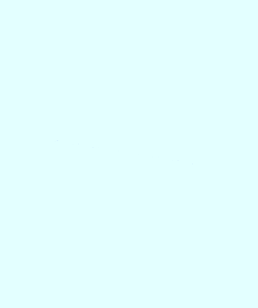 C=COCCOCCOCCOCCOCCOCCOCCOCCOCCOCCOCCOCCOCCOCCOC